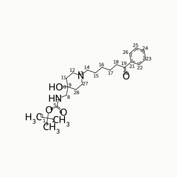 CC(C)(C)OC(=O)NCC1(O)CCN(CCCCCC(=O)c2ccccc2)CC1